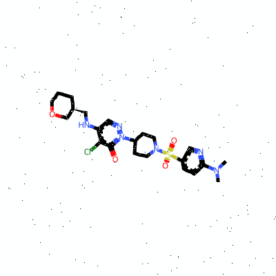 CN(C)c1ccc(S(=O)(=O)N2CCC(n3ncc(NC[C@@H]4CCCOC4)c(Cl)c3=O)CC2)cn1